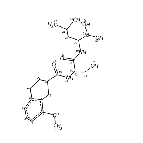 COc1cccc2c1CC(C(=O)N[C@@H](CO)C(=O)NC(CC(C)C)B(O)O)CC2